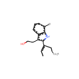 CC=C(CC(=O)O)c1[nH]c2c(CC)cccc2c1CCO